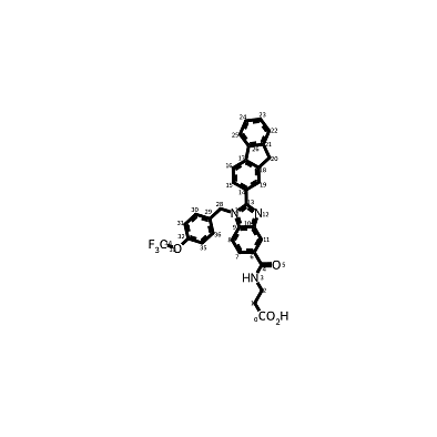 O=C(O)CCNC(=O)c1ccc2c(c1)nc(-c1ccc3c(c1)Cc1ccccc1-3)n2Cc1ccc(OC(F)(F)F)cc1